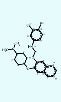 CN(C)C1CCC(Oc2cc3cncnc3cc2OCNc2ccc(F)c(Cl)c2)CC1